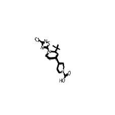 CC(C)(C)C1CC(C2CCN(C(=O)O)CC2)CCN1c1nc(Cl)ns1